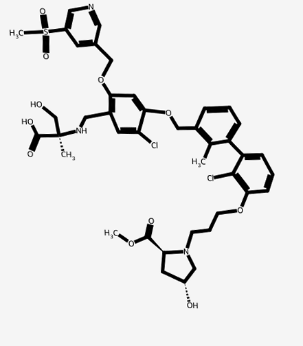 COC(=O)[C@@H]1C[C@@H](O)CN1CCCOc1cccc(-c2cccc(COc3cc(OCc4cncc(S(C)(=O)=O)c4)c(CN[C@](C)(CO)C(=O)O)cc3Cl)c2C)c1Cl